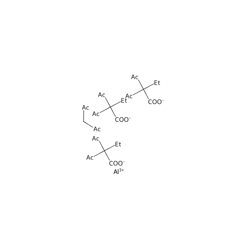 CC(=O)CC(C)=O.CCC(C(C)=O)(C(C)=O)C(=O)[O-].CCC(C(C)=O)(C(C)=O)C(=O)[O-].CCC(C(C)=O)(C(C)=O)C(=O)[O-].[Al+3]